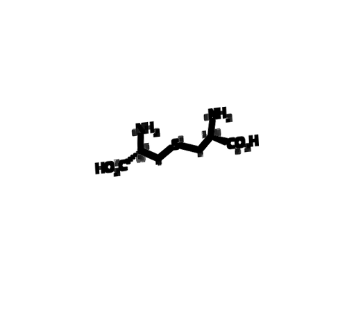 N[C@H](CSC[C@@H](N)C(=O)O)C(=O)O